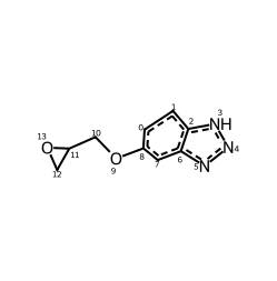 c1cc2[nH]nnc2cc1OCC1CO1